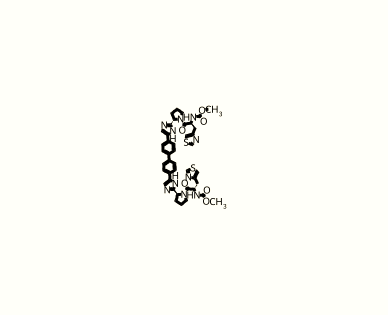 COC(=O)N[C@@H](Cc1cscn1)C(=O)N1CCC[C@H]1c1ncc(-c2ccc(-c3ccc(-c4cnc([C@@H]5CCCN5C(=O)[C@H](Cc5cscn5)NC(=O)OC)[nH]4)cc3)cc2)[nH]1